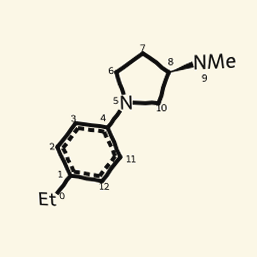 CCc1ccc(N2CC[C@@H](NC)C2)cc1